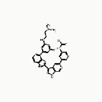 CCC(=O)Nc1cncc(-c2cc3c(-c4nc5c(-c6cc(F)cc(NCCN(C)C)c6)nccc5[nH]4)n[nH]c3cn2)c1